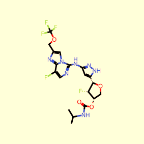 CC(C)NC(=O)O[C@H]1CO[C@@H](c2cc(Nc3ncc(F)c4nc(COC(F)(F)F)cn34)n[nH]2)[C@H]1F